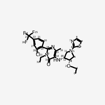 CCO[C@H]1CN(c2nccs2)C[C@H]1Nc1c(C)nc(-c2ccc(C(F)(F)F)cc2Cl)n(CC)c1=O